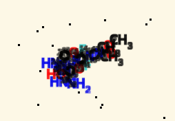 CCOC(=O)C(C)(C)N1CCN(c2c(F)c(Oc3cccc(NC(=N)N)c3)nc(Oc3ccc(O)c(C(=N)N)c3)c2F)CC1